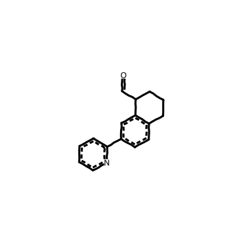 O=CC1CCCc2ccc(-c3ccccn3)cc21